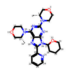 C[C@@H]1COCCN1c1nc(N2CCOC[C@H]2C)c2nc(-c3ccccn3)n(C3CCCCO3)c2n1